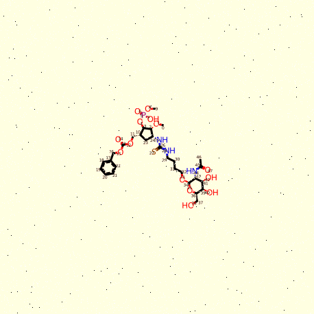 CO[C@H]1C(OP(=O)(O)OC)[C@@H](COC(=O)OCc2ccccc2)C[C@H]1NC(=S)NCCCCO[C@@H]1O[C@H](CO)[C@H](O)[C@H](O)[C@H]1NC(C)=O